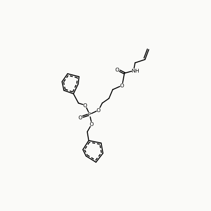 C=CCNC(=O)OCCCOP(=O)(OCc1ccccc1)OCc1ccccc1